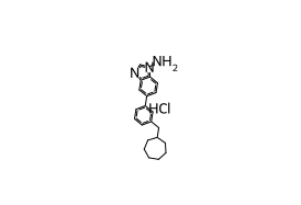 Cl.Nn1cnc2cc(-c3cccc(CC4CCCCCC4)c3)ccc21